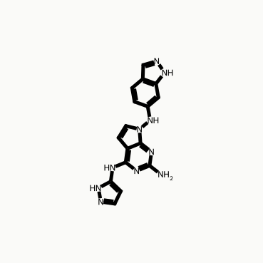 Nc1nc(Nc2ccn[nH]2)c2ccn(Nc3ccc4cn[nH]c4c3)c2n1